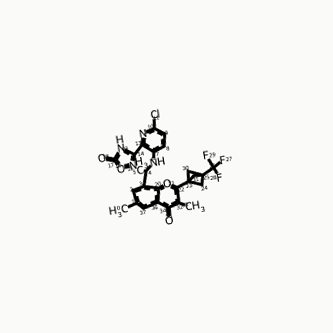 Cc1cc(C(C)Nc2ccc(Cl)nc2-c2noc(=O)[nH]2)c2oc(C34CC(C(F)(F)F)(C3)C4)c(C)c(=O)c2c1